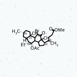 CC[C@H]1[C@@H](OC(C)=O)C2C3CC[C@H]([C@H](C)CCC(=O)OC)[C@@]3(C)C(=O)[C@@H](Br)C2[C@@]2(C)CC[C@@H](C)C[C@@H]12